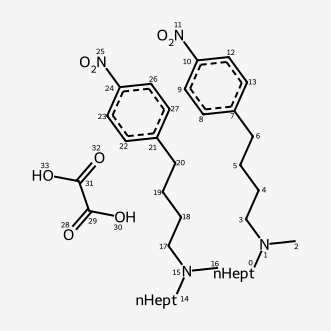 CCCCCCCN(C)CCCCc1ccc([N+](=O)[O-])cc1.CCCCCCCN(C)CCCCc1ccc([N+](=O)[O-])cc1.O=C(O)C(=O)O